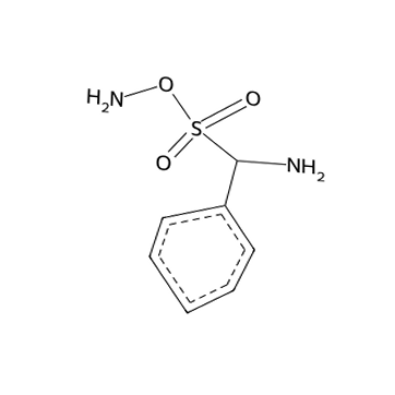 NOS(=O)(=O)C(N)c1ccccc1